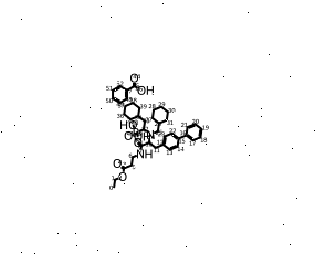 CCOC(=O)CCNC(=O)C(Cc1ccc(-c2ccccc2)cc1)N(CC1CCCCC1)C(CC1CCCCC1)P(=O)(O)O.O=C(O)c1ccccc1